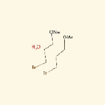 COCCCBr.COCCCBr.O